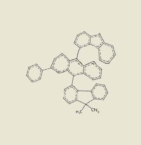 CC1(C)c2ccccc2-c2c(-c3c4ccccc4c(-c4cccc5sc6ccccc6c45)c4ccc(-c5ccccc5)cc34)cccc21